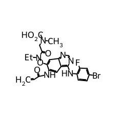 C=CC(=O)Nc1cc2c(Nc3ccc(Br)cc3F)ncnc2cc1ON(CC)C(=O)CN(C)C(=O)O